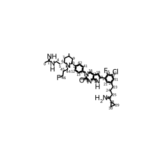 CC(=N)NCC[C@@H]1CCC[C@@H](c2ccc(-n3cc4cc(-c5cc(CCCC(N)C6CC6)cc(Cl)c5F)[nH]c4nc3=O)cc2)N1CCCF